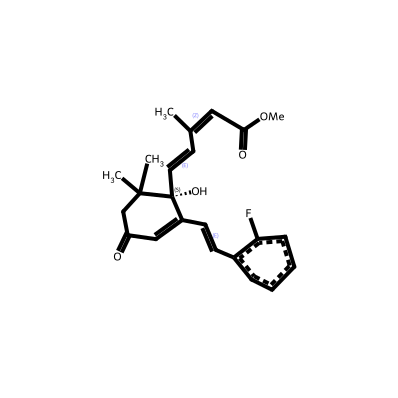 COC(=O)/C=C(C)\C=C\[C@@]1(O)C(/C=C/c2ccccc2F)=CC(=O)CC1(C)C